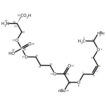 CCCCC(C)OC/C=C\COC(CCCC)C(=O)OCCCOP(=O)(O)OC[C@H](N)C(=O)O